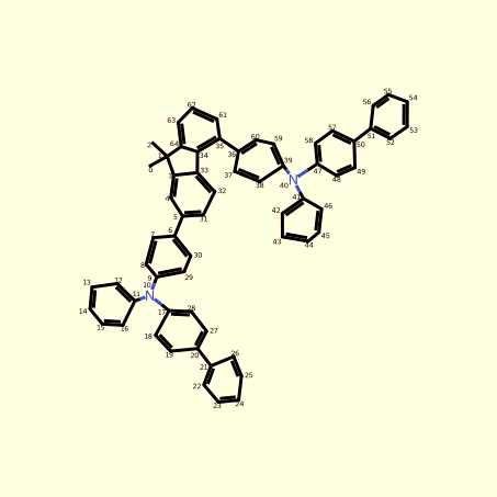 CC1(C)c2cc(-c3ccc(N(c4ccccc4)c4ccc(-c5ccccc5)cc4)cc3)ccc2-c2c(-c3ccc(N(c4ccccc4)c4ccc(-c5ccccc5)cc4)cc3)cccc21